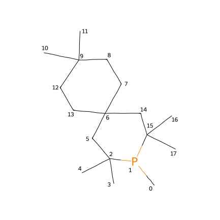 CP1C(C)(C)CC2(CCC(C)(C)CC2)CC1(C)C